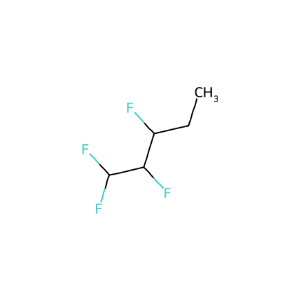 CCC(F)C(F)C(F)F